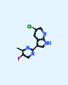 Cc1nc(-c2c[nH]c3ncc(Cl)cc23)ncc1I